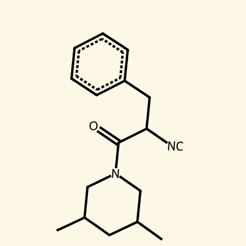 [C-]#[N+]C(Cc1ccccc1)C(=O)N1CC(C)CC(C)C1